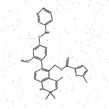 COc1cc(ONc2cccnc2)ccc1-c1ccc2c(c1COC(=O)c1ccc(C)s1)C(C)=CC(C)(C)N2